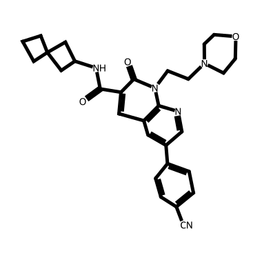 N#Cc1ccc(-c2cnc3c(c2)cc(C(=O)NC2CC4(CCC4)C2)c(=O)n3CCN2CCOCC2)cc1